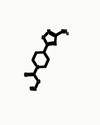 Bc1noc(C2CCN(C(=O)OC(C)(C)C)CC2)n1